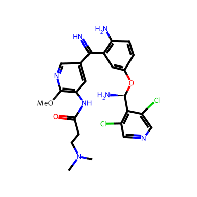 COc1ncc(C(=N)c2cc(O[C@H](N)c3c(Cl)cncc3Cl)ccc2N)cc1NC(=O)CCN(C)C